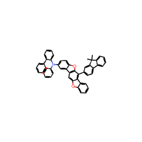 CC1(C)c2ccccc2-c2ccc(-c3c4oc5ccc(N(c6ccccc6)c6ccccc6-c6ccccc6)cc5c4cc4oc5ccccc5c34)cc21